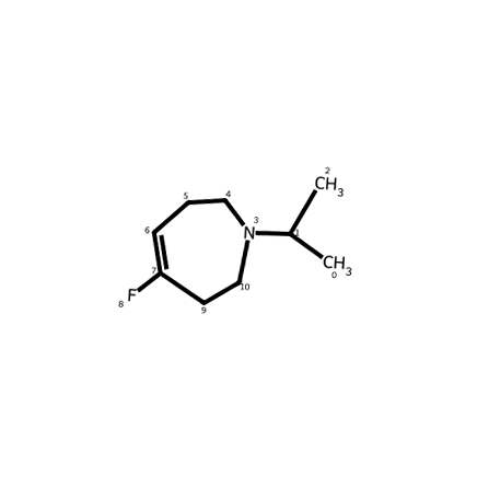 CC(C)N1CCC=C(F)CC1